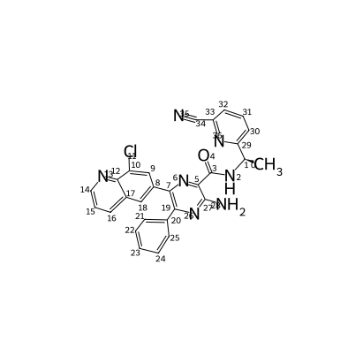 C[C@@H](NC(=O)c1nc(-c2cc(Cl)c3ncccc3c2)c(-c2ccccc2)nc1N)c1cccc(C#N)n1